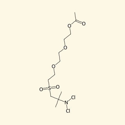 CC(=O)OCCOCCOCCS(=O)(=O)CC(C)(C)N(Cl)Cl